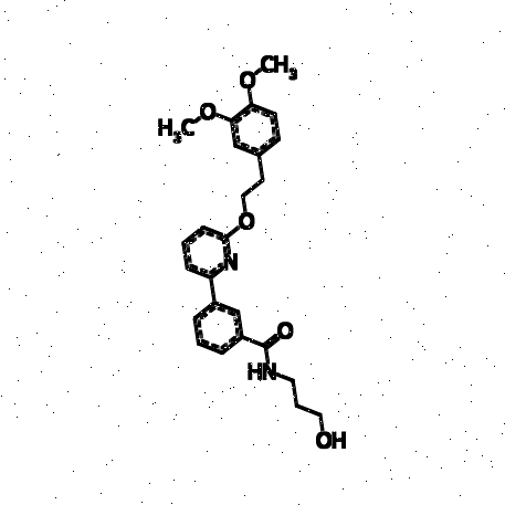 COc1ccc(CCOc2cccc(-c3cccc(C(=O)NCCCO)c3)n2)cc1OC